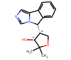 CC1(C)OC[C@@H](C2c3ccccc3-c3cncn32)[C@@H]1O